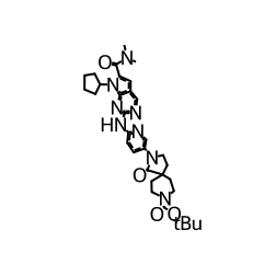 CN(C)C(=O)c1cc2cnc(Nc3ccc(N4CCC5(CCN(C(=O)OC(C)(C)C)CC5)C4=O)cn3)nc2n1C1CCCC1